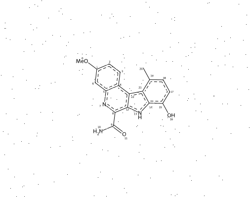 COc1ccc2c(c1)nc(C(N)=O)c1[nH]c3c(O)ccc(C)c3c12